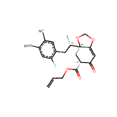 C=CCOC(=O)[C@@H]1C[C@]2([C@@H](C)Cc3cc(C#N)c(OC)cc3F)OCOC2=CC1=O